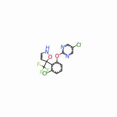 FC(F)(F)C1(c2c(Cl)cccc2Oc2ncc(Cl)cn2)C=CNO1